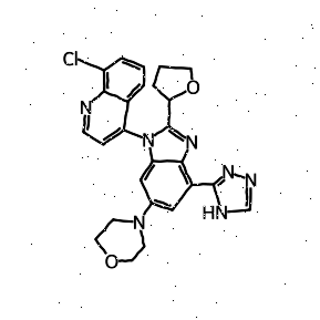 Clc1cccc2c(-n3c(C4CCCO4)nc4c(-c5nnc[nH]5)cc(N5CCOCC5)cc43)ccnc12